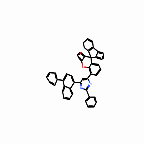 C1=CC2=C(CC1)C1(c3ccccc3Oc3c(-c4cc(-c5ccc(-c6ccccc6)c6ccccc56)nc(-c5ccccc5)n4)cccc31)c1ccccc12